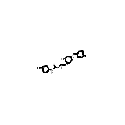 O=C(NCC[C@@H]1CC[C@@H](Cc2ccc(F)cc2)CN1)Nc1ccc(F)cc1